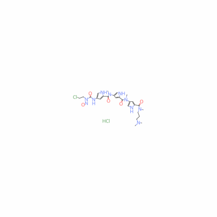 CN(C)CCCN(C)C(=O)c1cc(N(C)C(=O)c2cc(N(C)C(=O)c3cc(NC(=O)N(CCCl)N=O)c[nH]3)c[nH]2)c[nH]1.Cl